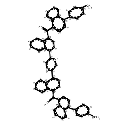 Cc1ccc(-c2ccc(C(=O)c3ccc(-c4cnc(-c5ccc(C(=O)c6ccc(-c7ccc(C)cc7)c7ccccc67)c6ccccc56)cn4)c4ccccc34)c3ccccc23)cc1